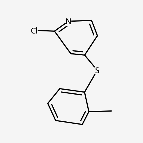 Cc1ccccc1Sc1ccnc(Cl)c1